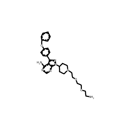 NCCOCCOCCN1CCC(n2nc(-c3ccc(Oc4ccccc4)cc3)c3c(N)ncnc32)CC1